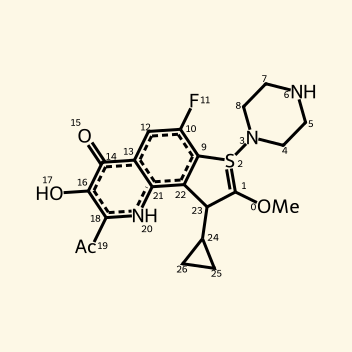 COC1=S(N2CCNCC2)c2c(F)cc3c(=O)c(O)c(C(C)=O)[nH]c3c2C1C1CC1